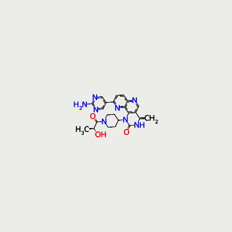 C=C1NC(=O)N(C2CCN(C(=O)[C@H](C)O)CC2)c2c1cnc1ccc(-c3cnc(N)nc3)nc21